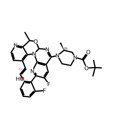 C/C=C/c1ccnc2c1N1c3nc(-c4c(O)cccc4F)c(F)cc3C(N3CCN(C(=O)OC(C)(C)C)C[C@@H]3C)=NC1OC2C